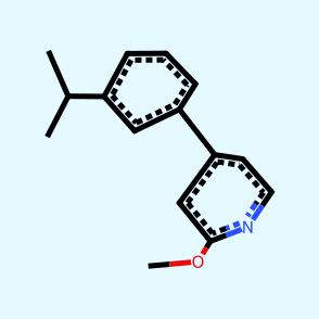 COc1cc(-c2cccc(C(C)C)c2)ccn1